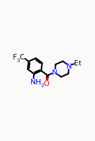 CCN1CCN(C(=O)c2ccc(C(F)(F)F)cc2N)CC1